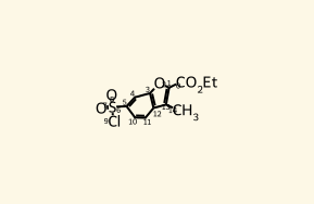 CCOC(=O)c1oc2cc(S(=O)(=O)Cl)ccc2c1C